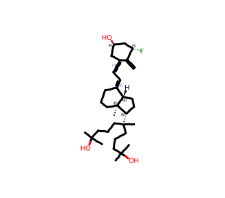 C=C1/C(=C\C=C2/CCC[C@]3(C)[C@@H](C(C)(CCCC(C)(C)O)CCCC(C)(C)O)CC[C@@H]23)C[C@@H](O)C[C@@H]1F